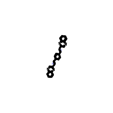 C(=C\c1cnc2ccccc2n1)/c1ccc(/C=C/c2cnc3ccccc3n2)cc1